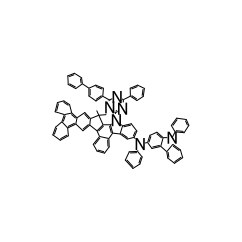 CC1(C)c2cc3c4ccccc4c4ccccc4c3cc2-c2c1c1c(c3ccccc23)c2cc(N(c3ccccc3)c3ccc4c(c3)c3ccccc3n4-c3ccccc3)ccc2n1-c1nc(-c2ccccc2)nc(-c2ccc(-c3ccccc3)cc2)n1